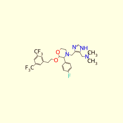 CN(C)Cc1[nH]cnc1CN1CCOC(OCCc2cc(C(F)(F)F)cc(C(F)(F)F)c2)C1c1ccc(F)cc1